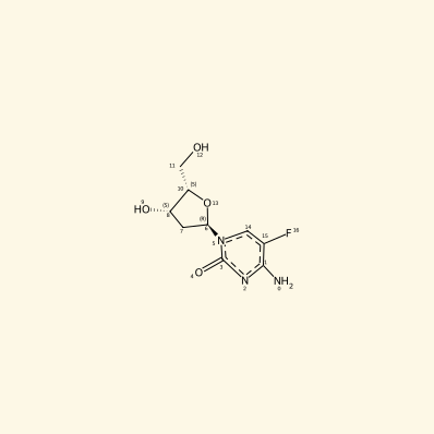 Nc1nc(=O)n([C@H]2C[C@H](O)[C@H](CO)O2)cc1F